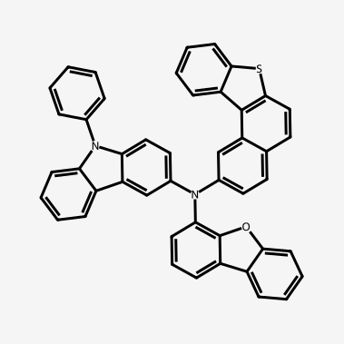 c1ccc(-n2c3ccccc3c3cc(N(c4ccc5ccc6sc7ccccc7c6c5c4)c4cccc5c4oc4ccccc45)ccc32)cc1